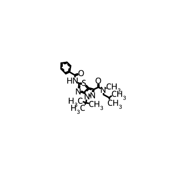 CC(C)CN(C)C(=O)c1nn(C(C)(C)C)c2nc(NC(=O)c3ccccc3)sc12